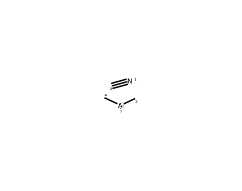 C#N.[CH3][Al][CH3]